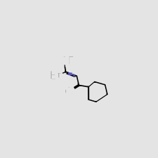 CC/C(=C\C(=O)C1CCCCC1)C(F)(F)F